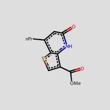 CCCc1cc(=O)[nH]c2c(C(=O)OC)csc12